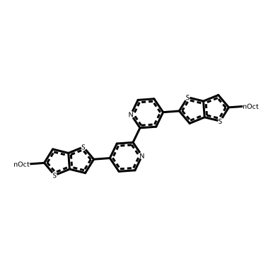 CCCCCCCCc1cc2sc(-c3ccnc(-c4cc(-c5cc6sc(CCCCCCCC)cc6s5)ccn4)c3)cc2s1